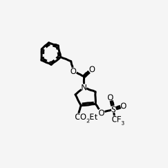 CCOC(=O)C1=C(OS(=O)(=O)C(F)(F)F)CN(C(=O)OCc2ccccc2)C1